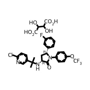 CC(C)(N[C@@H]1C[C@H](c2cccc(F)c2)N(c2ccc(OC(F)(F)F)cc2)C1=O)c1ccc(Cl)nc1.O=C(O)C(O)C(O)C(=O)O